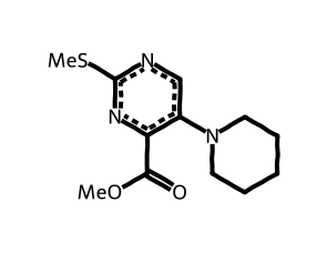 COC(=O)c1nc(SC)ncc1N1CCCCC1